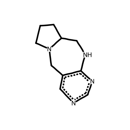 c1ncc2c(n1)NCC1CCCN1C2